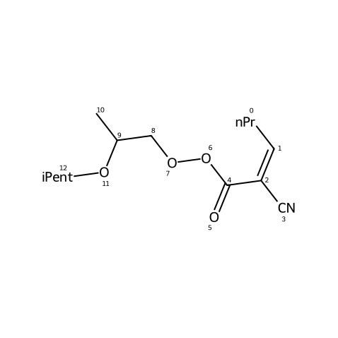 CCCC=C(C#N)C(=O)OOCC(C)OC(C)CCC